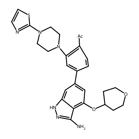 CC(=O)c1ccc(-c2cc(OC3CCOCC3)c3c(N)n[nH]c3c2)cc1N1CCN(c2nccs2)CC1